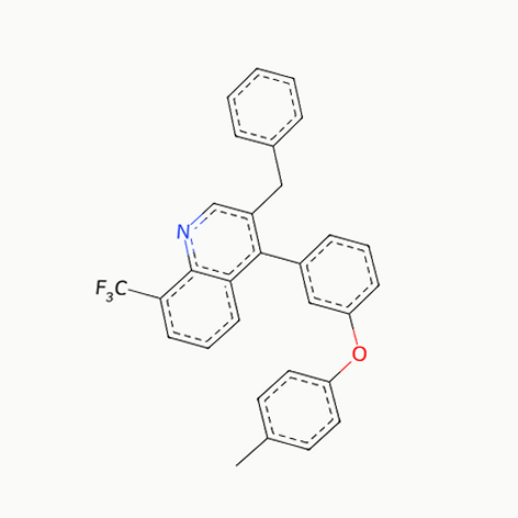 Cc1ccc(Oc2cccc(-c3c(Cc4ccccc4)cnc4c(C(F)(F)F)cccc34)c2)cc1